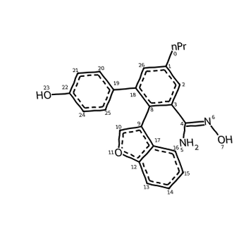 CCCc1cc(C(N)=NO)c(-c2coc3ccccc23)c(-c2ccc(O)cc2)c1